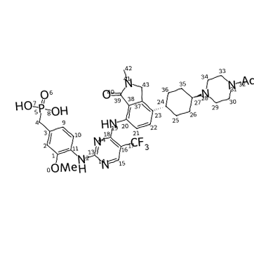 COc1cc(CP(=O)(O)O)ccc1Nc1ncc(C(F)(F)F)c(Nc2ccc([C@H]3CC[C@H](N4CCN(C(C)=O)CC4)CC3)c3c2C(=O)N(C)C3)n1